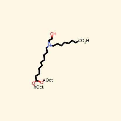 CCCCCCCCOC(CCCCCCCCCN(CCO)CCCCCCCC(=O)O)OCCCCCCCC